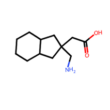 NCC1(CC(=O)O)CC2CCCCC2C1